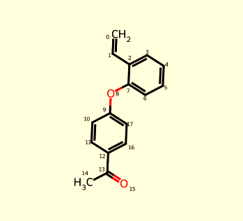 C=Cc1ccccc1Oc1ccc(C(C)=O)cc1